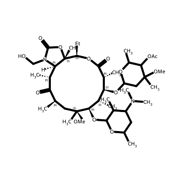 CC[C@H]1OC(=O)[C@H](C)[C@@H](OC2CC(C)(OC)C(OC(C)=O)C(C)O2)[C@H](C)[C@@H](OC2OC(C)CC(N(C)C)C2C)[C@@](C)(OC)C[C@@H](C)C(=O)[C@H](C)[C@H]2N(CO)C(=O)O[C@]12C